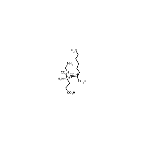 NCC(=O)O.NCCCCCC(N)C(=O)O.N[C@@H](CCC(=O)O)C(=O)O